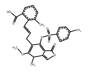 COC1=C(C/C=C/c2c(C)cccc2C(=O)O)C(OS(=O)(=O)c2ccc(C)cc2)=C2C(=O)OC=C2C1C